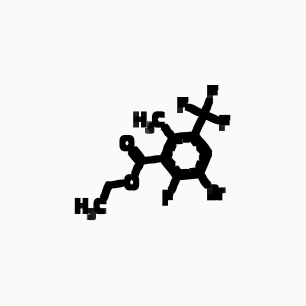 CCOC(=O)c1c(C)c(C(F)(F)F)cc(Br)c1F